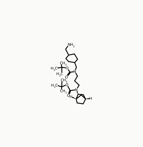 CC(C)(C)OC(=O)N(CCCN(C(=O)OC(C)(C)C)[C@H]1C[C@@H]2CC[C@H]1C2)CC1CCC(CN)CC1